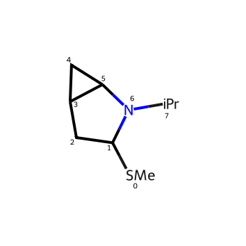 CSC1CC2CC2N1C(C)C